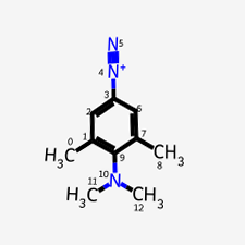 Cc1cc([N+]#N)cc(C)c1N(C)C